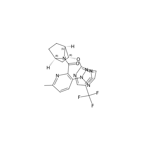 Cc1ccc(-n2nccn2)c(C(=O)N2[C@@H]3CC[C@H]2[C@H](Oc2ncc(C(F)(F)F)cn2)C3)n1